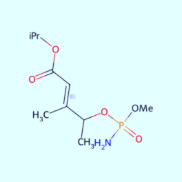 COP(N)(=O)OC(C)/C(C)=C/C(=O)OC(C)C